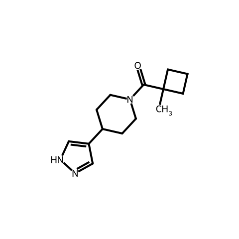 CC1(C(=O)N2CCC(c3cn[nH]c3)CC2)CCC1